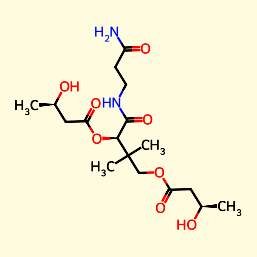 C[C@@H](O)CC(=O)OCC(C)(C)[C@@H](OC(=O)C[C@@H](C)O)C(=O)NCCC(N)=O